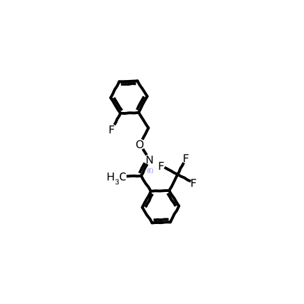 C/C(=N\OCc1ccccc1F)c1ccccc1C(F)(F)F